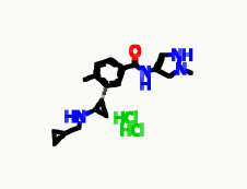 Cc1ccc(C(=O)NC2=CNN(C)C2)cc1[C@@H]1C[C@H]1NCC1CC1.Cl.Cl